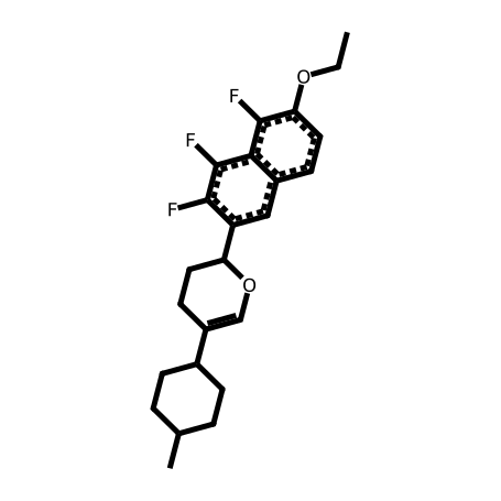 CCOc1ccc2cc(C3CCC(C4CCC(C)CC4)=CO3)c(F)c(F)c2c1F